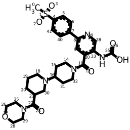 CS(=O)(=O)c1ccc(-c2cc(C(=O)N3CCC(N4CCCC(C(=O)N5CCOCC5)C4)CC3)c(NC(=O)O)cn2)cc1